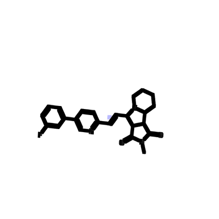 CN1C(=O)C2C(C1=O)C1CCCCN1C2/C=C/c1ccc(-c2cccc(F)c2)cn1